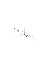 O=C(COc1ccccc1)NC1C(=O)N(OC(=O)COC(=O)CS)C1CI